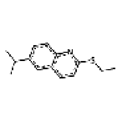 CCSc1ccc2cc(C(C)C)ccc2n1